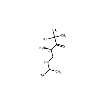 CC(C)NC[C@@H](N)C(=O)C(C)(C)C